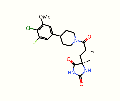 COc1cc(C2CCN(C(=O)[C@H](C)C[C@@]3(C)NC(=O)NC3=O)CC2)cc(F)c1Cl